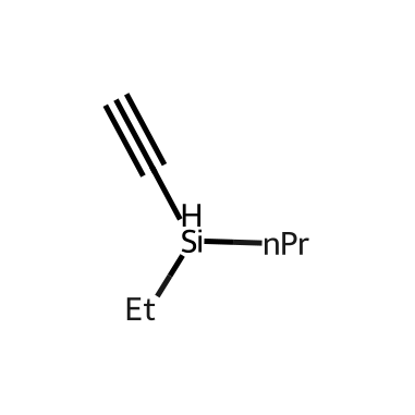 C#C[SiH](CC)CCC